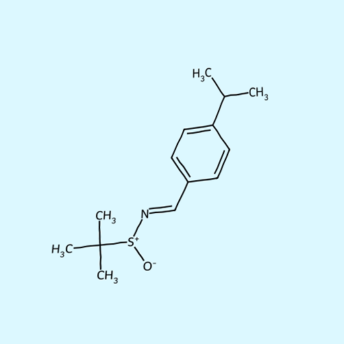 CC(C)c1ccc(C=N[S+]([O-])C(C)(C)C)cc1